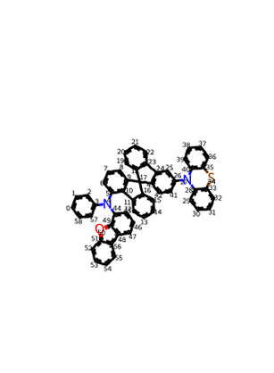 c1ccc(N(c2cccc3c2-c2ccccc2C32c3ccccc3-c3cc(N4c5ccccc5Sc5ccccc54)ccc32)c2cccc3c2oc2ccccc23)cc1